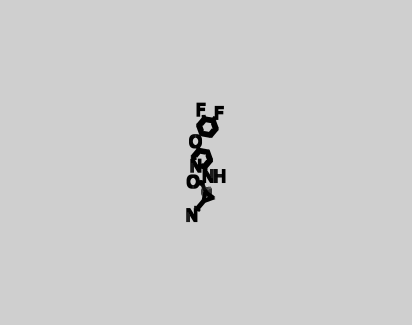 N#CC1C[C@@H]1C(=O)Nc1ccc(Oc2ccc(F)c(F)c2)cn1